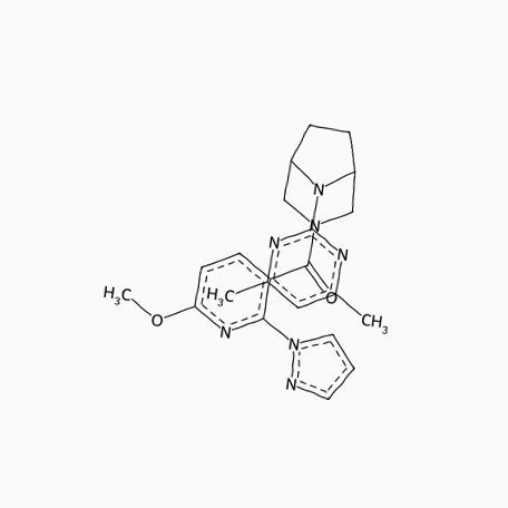 COc1ccc(C(=O)N2CC3CCC(C2)N3c2nc(C)cc(C)n2)c(-n2cccn2)n1